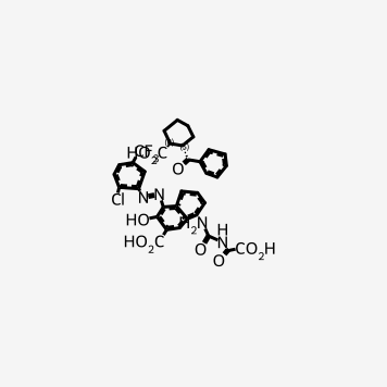 NC(=O)NC(=O)C(=O)O.O=C(O)c1cc2ccccc2c(N=Nc2cc(C(F)(F)F)ccc2Cl)c1O.O=C(c1ccccc1)[C@H]1CCCC[C@H]1C(=O)O